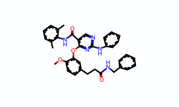 COc1ccc(CCC(=O)NCc2ccccc2)cc1Oc1nc(Nc2ccccc2)ncc1C(=O)Nc1c(C)cccc1C